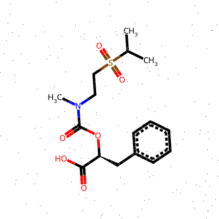 CC(C)S(=O)(=O)CCN(C)C(=O)O[C@@H](Cc1ccccc1)C(=O)O